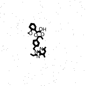 CCc1nc2c(C)cc(C)nc2n1Cc1ccc(C(CC)OC(C(=O)O)c2ccccc2OC)cc1